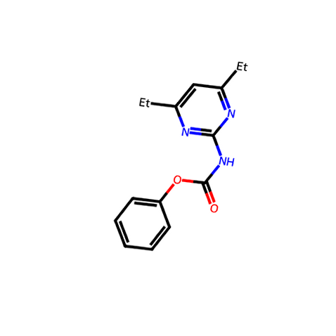 CCc1cc(CC)nc(NC(=O)Oc2ccccc2)n1